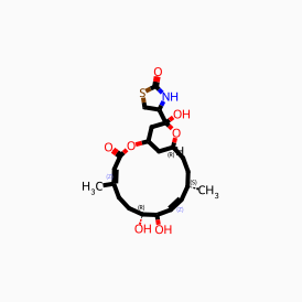 C/C1=C/C(=O)OC2C[C@@H](CC[C@H](C)/C=C\C(O)[C@H](O)CC1)OC(O)(C1CSC(=O)N1)C2